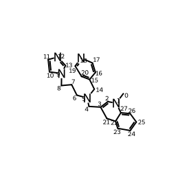 CN1C=C(CN(CCCn2ccnc2)Cc2ccncc2)Cc2ccccc21